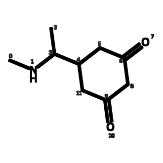 CNC(C)C1CC(=O)CC(=O)C1